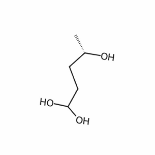 C[C@H](O)CCC(O)O